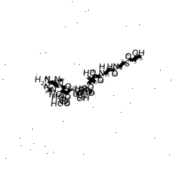 CC(O)=CC(=O)SCCNC(=O)CCNC(=O)[C@H](O)C(C)(C)COP(=O)(O)OP(=O)(O)OC[C@H]1O[C@@H](n2cnc3c(N)ncnc32)[C@H](O)[C@@H]1OP(=O)(O)O